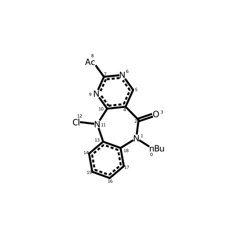 CCCCN1C(=O)c2cnc(C(C)=O)nc2N(Cl)c2ccccc21